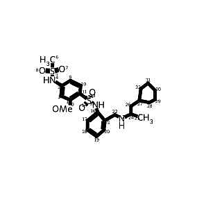 COc1cc(NS(C)(=O)=O)ccc1S(=O)(=O)Nc1ccccc1CNC(C)CC1CCCCC1